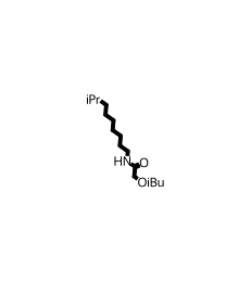 CC(C)CCCCCCCNC(=O)COCC(C)C